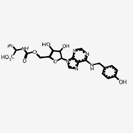 CC(C)C(NC(=O)OCC1OC(n2cnc3c(NCc4ccc(O)cc4)ncnc32)C(O)C1O)C(=O)O